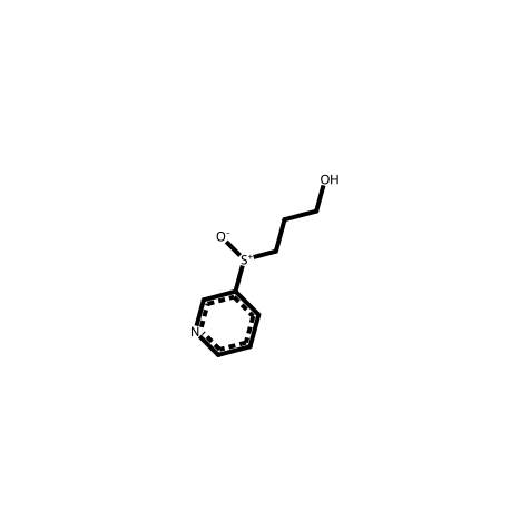 [O-][S+](CCCO)c1cccnc1